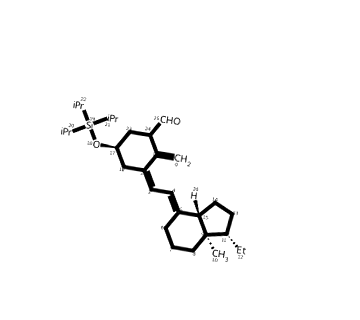 C=C1/C(=C\C=C2/CCC[C@]3(C)[C@@H](CC)CC[C@@H]23)C[C@@H](O[Si](C(C)C)(C(C)C)C(C)C)CC1C=O